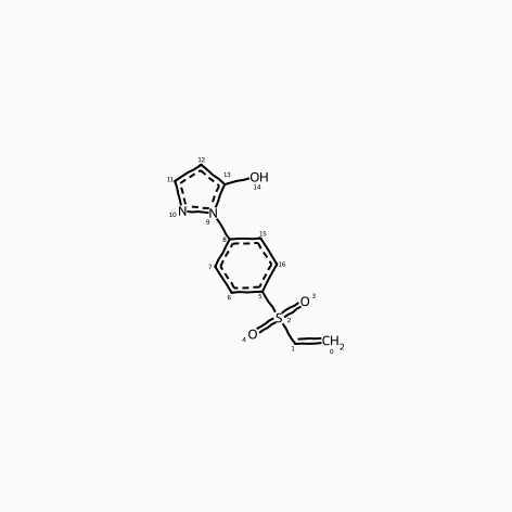 C=CS(=O)(=O)c1ccc(-n2nccc2O)cc1